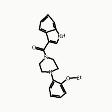 CCOc1ccccc1N1CCN(C(=O)c2c[nH]c3ccccc23)CC1